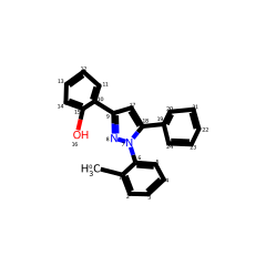 Cc1ccccc1-n1nc(-c2ccccc2O)cc1-c1ccccc1